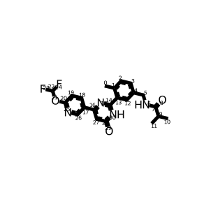 Cc1ccc(CNC(=O)C(C)C)cc1-c1nc(-c2ccc(OC(F)F)nc2)cc(=O)[nH]1